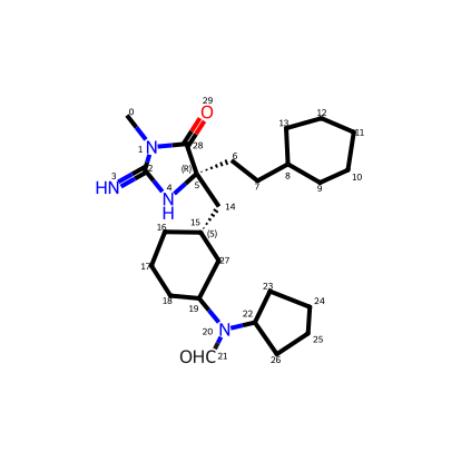 CN1C(=N)N[C@](CCC2CCCCC2)(C[C@H]2CCCC(N(C=O)C3CCCC3)C2)C1=O